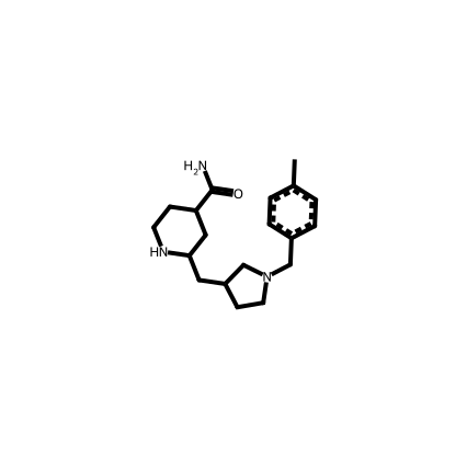 Cc1ccc(CN2CCC(CC3CC(C(N)=O)CCN3)C2)cc1